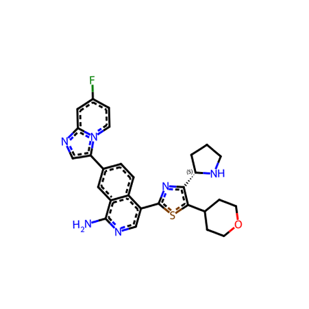 Nc1ncc(-c2nc([C@@H]3CCCN3)c(C3CCOCC3)s2)c2ccc(-c3cnc4cc(F)ccn34)cc12